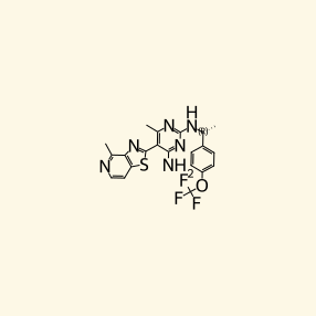 Cc1nc(N[C@H](C)c2ccc(OC(F)(F)F)cc2)nc(N)c1-c1nc2c(C)nccc2s1